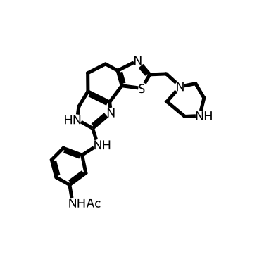 CC(=O)Nc1cccc(NC2=NC3=C(CCc4nc(CN5CCNCC5)sc43)CN2)c1